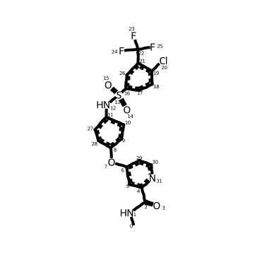 CNC(=O)c1cc(Oc2ccc(NS(=O)(=O)c3ccc(Cl)c(C(F)(F)F)c3)cc2)ccn1